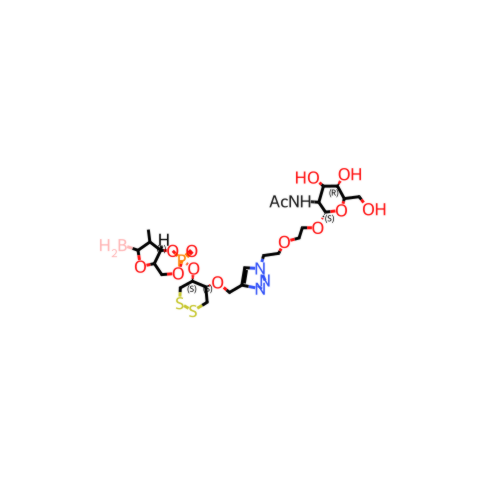 BC1OC2COP(=O)(O[C@@H]3CSSC[C@H]3OCc3cn(CCOCCO[C@H]4OC(CO)[C@H](O)C(O)C4NC(C)=O)nn3)O[C@H]2C1C